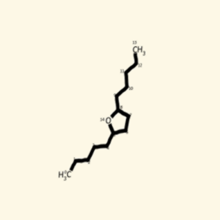 CCCCCC1CCC(CCCCC)O1